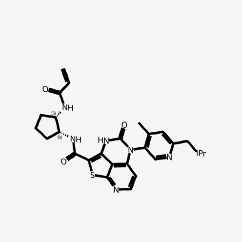 C=CC(=O)N[C@H]1CCC[C@H]1NC(=O)c1sc2nccc3c2c1NC(=O)N3c1cnc(CC(C)C)cc1C